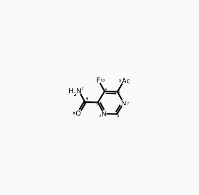 CC(=O)c1ncnc(C(N)=O)c1F